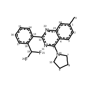 Cc1ccc2c(N3CCCC3)nc(-c3ccccc3C(F)F)nc2c1